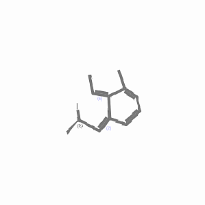 C/C=c1\c(C)ccc\c1=C\[C@@H](C)I